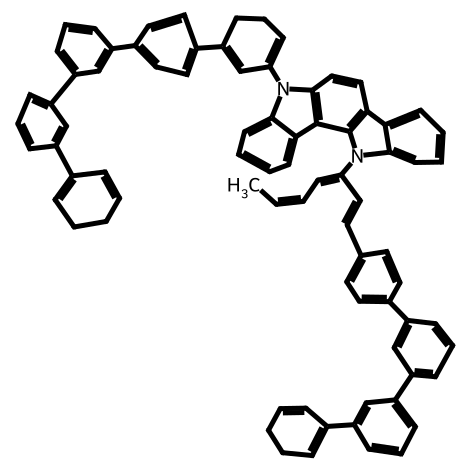 C\C=C/C=C(\C=C\c1ccc(-c2cccc(-c3cccc(C4=CCCC=C4)c3)c2)cc1)n1c2ccccc2c2ccc3c(c4ccccc4n3C3=CCCC(c4ccc(-c5cccc(-c6cccc(C7=CCCC=C7)c6)c5)cc4)=C3)c21